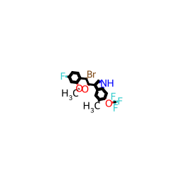 COc1cc(F)ccc1C(Br)C(=O)c1c[nH]c2cc(OC(F)(F)F)c(C)cc12